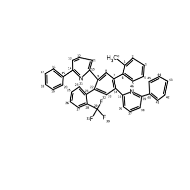 Cc1ccccc1-c1cc(-c2cccc(-c3ccccc3)n2)c(-c2ccccc2C(F)(F)F)cc1-c1cccc(-c2ccccc2)n1